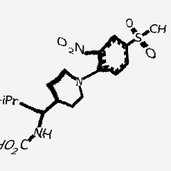 C[C](C)C(NC(=O)O)C1CCN(c2ccc(S(C)(=O)=O)cc2[N+](=O)[O-])CC1